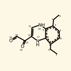 CCc1ccc(CC)c2c1NC=C(C(=O)C=O)N2